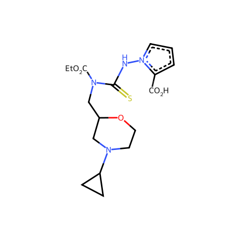 CCOC(=O)N(CC1CN(C2CC2)CCO1)C(=S)Nn1cccc1C(=O)O